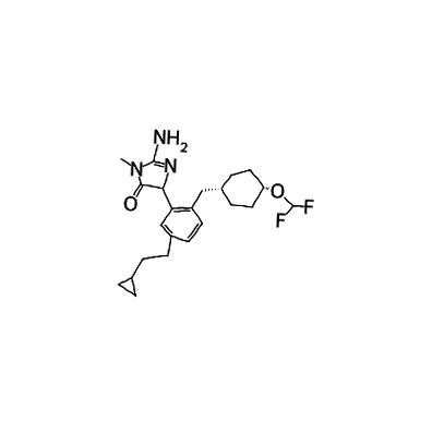 CN1C(=O)C(c2cc(CCC3CC3)ccc2C[C@H]2CC[C@@H](OC(F)F)CC2)N=C1N